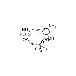 C[C@@H]1OC(=O)c2c(O)cc(N)cc2/C=C/C[C@H](O)[C@H](O)C(=O)/C=C\[C@@H]1C